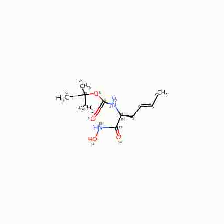 CC=CC[C@H](NC(=O)OC(C)(C)C)C(=O)NO